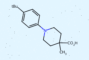 CC1(C(=O)O)CCN(c2ccc(C(C)(C)C)cc2)CC1